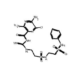 N=C(NCCS(=O)(=O)NCCS(=O)(=O)Nc1ccccc1)NC(=O)c1nc(Cl)c(N)nc1N